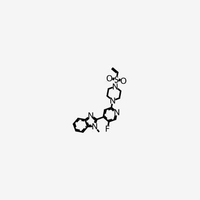 C=CS(=O)(=O)N1CCN(c2cc(-c3nc4ccccc4n3C)c(F)cn2)CC1